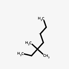 CC[CH]CC(C)(C)CC